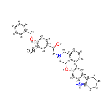 O=C(CN(CCOc1ccc2c3c([nH]c2c1)CCCC3)Cc1ccccc1)c1ccc(OCc2ccccc2)c([N+](=O)[O-])c1